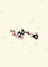 CC(C)(C)OC(=O)ON1CCC(c2ccc(OCCCOc3ccccc3Cl)cc2)C(O)C1